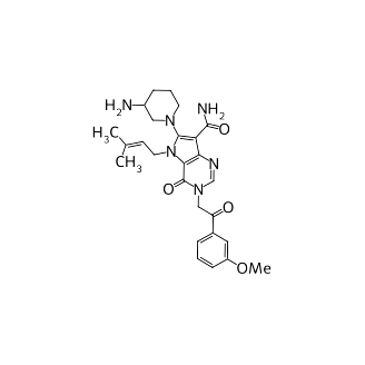 COc1cccc(C(=O)Cn2cnc3c(C(N)=O)c(N4CCCC(N)C4)n(CC=C(C)C)c3c2=O)c1